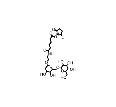 O=C(CCCCC(=O)ON1C(=O)CCC1=O)NCCO[C@@H]1CC(O)[C@H](O)C(CO[C@H]2OC(CO)[C@@H](O)C(O)C2O)O1